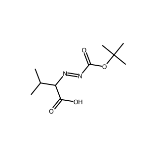 CC(C)C(N=NC(=O)OC(C)(C)C)C(=O)O